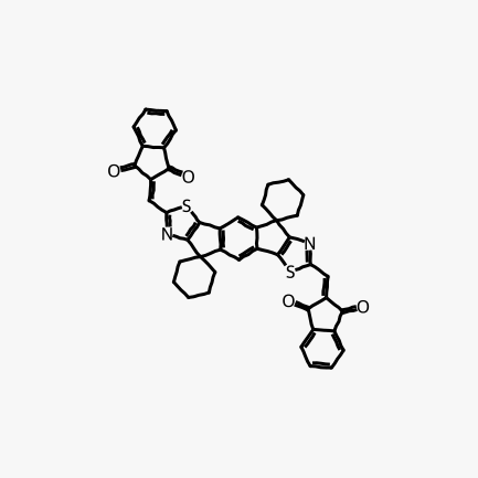 O=C1C(=Cc2nc3c(s2)-c2cc4c(cc2C32CCCCC2)-c2sc(C=C3C(=O)c5ccccc5C3=O)nc2C42CCCCC2)C(=O)c2ccccc21